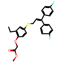 CCc1cc(SCC=C(c2ccc(F)cc2)c2ccc(F)cc2)ccc1OCC(=O)OC